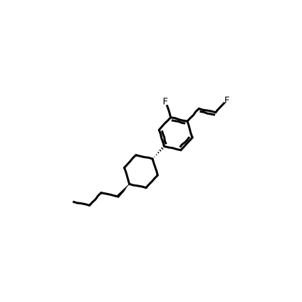 CCCC[C@H]1CC[C@H](c2ccc(C=CF)c(F)c2)CC1